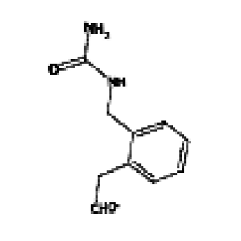 NC(=O)NCc1ccccc1C[C]=O